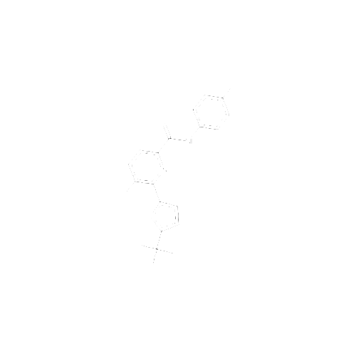 O=C(Nc1ccc(F)cc1)c1ccc(O)c(-c2ccc(C(F)(F)F)s2)n1